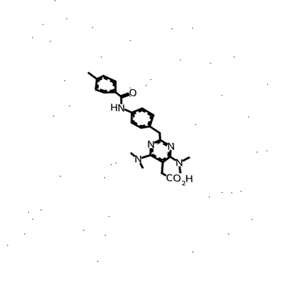 Cc1ccc(C(=O)Nc2ccc(Cc3nc(N(C)C)c(CC(=O)O)c(N(C)C)n3)cc2)cc1